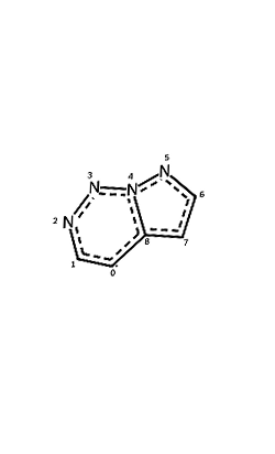 [c]1cnnn2nccc12